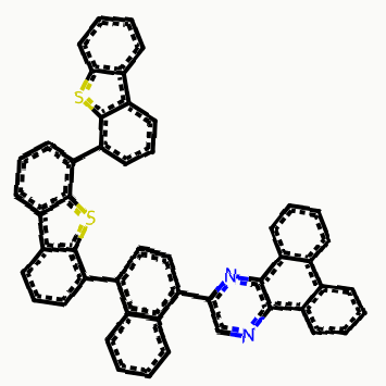 c1ccc2c(c1)sc1c(-c3cccc4c3sc3c(-c5ccc(-c6cnc7c8ccccc8c8ccccc8c7n6)c6ccccc56)cccc34)cccc12